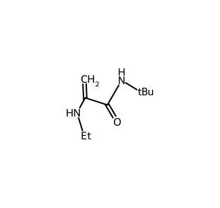 C=C(NCC)C(=O)NC(C)(C)C